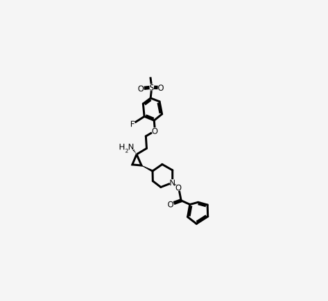 CS(=O)(=O)c1ccc(OCC[C@]2(N)C[C@@H]2C2CCN(OC(=O)c3ccccc3)CC2)c(F)c1